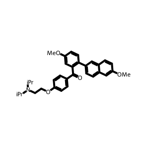 COc1ccc(-c2ccc3cc(OC)ccc3c2)c(C(=O)c2ccc(OCCN(C(C)C)C(C)C)cc2)c1